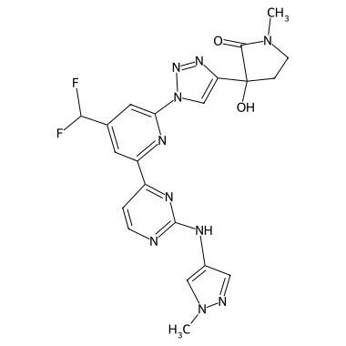 CN1CCC(O)(c2cn(-c3cc(C(F)F)cc(-c4ccnc(Nc5cnn(C)c5)n4)n3)nn2)C1=O